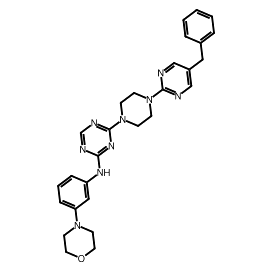 c1ccc(Cc2cnc(N3CCN(c4ncnc(Nc5cccc(N6CCOCC6)c5)n4)CC3)nc2)cc1